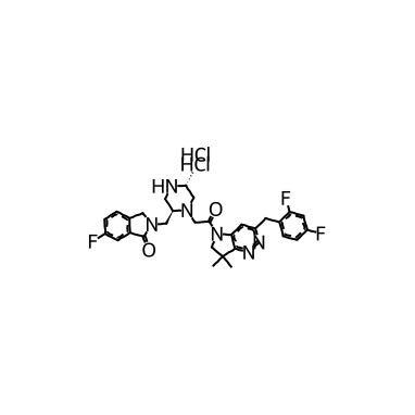 C[C@@H]1CN(CC(=O)N2CC(C)(C)c3nnc(Cc4ccc(F)cc4F)cc32)[C@@H](CN2Cc3ccc(F)cc3C2=O)CN1.Cl.Cl